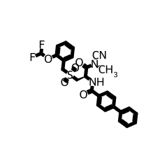 CN(C#N)C(=O)[C@H](CS(=O)(=O)Cc1ccccc1OC(F)F)NC(=O)c1ccc(-c2ccccc2)cc1